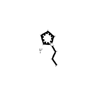 CCC[c-]1cccc1.[Li+]